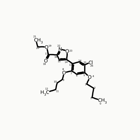 CCCCOc1cc(OCCCC)c(-c2cc(C(=O)OCC)no2)cc1Cl